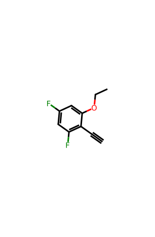 C#Cc1c(F)cc(F)cc1OCC